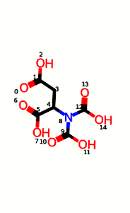 O=C(O)CC(C(=O)O)N(C(=O)O)C(=O)O